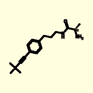 C[C@H](N)C(=O)NCCCc1ccc(C#C[Si](C)(C)C)cc1